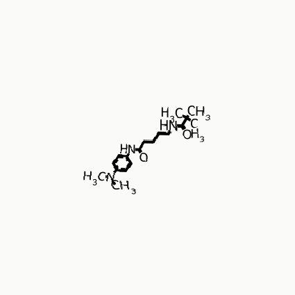 CN(C)c1ccc(NC(=O)CCCCNC(=O)C(C)(C)C)cc1